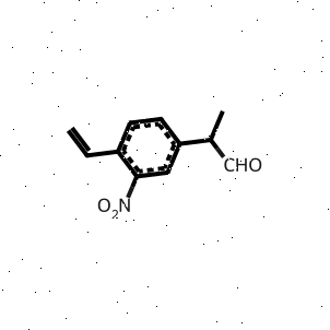 C=Cc1ccc(C(C)C=O)cc1[N+](=O)[O-]